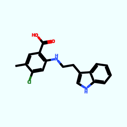 Cc1cc(C(=O)O)c(NCCc2c[nH]c3ccccc23)cc1Cl